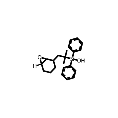 CC(C)(CC1CCC[C@@H]2OC12)[Si](O)(c1ccccc1)c1ccccc1